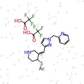 CC(=O)SC1CCNC/C1=C\c1ccn(Cc2ccccn2)n1.O=C(O)C(F)(F)F.O=C(O)C(F)(F)F